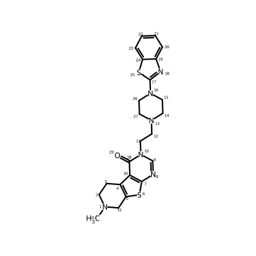 CN1CCc2c(sc3ncn(CCN4CCN(c5nc6ccccc6s5)CC4)c(=O)c23)C1